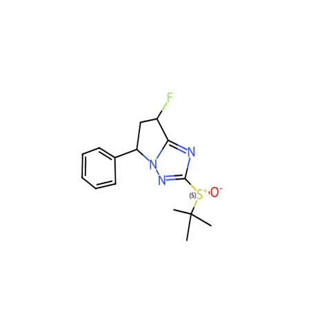 CC(C)(C)[S@@+]([O-])c1nc2n(n1)C(c1ccccc1)CC2F